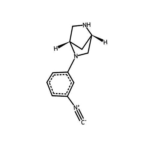 [C-]#[N+]c1cccc(N2C[C@@H]3C[C@H]2CN3)c1